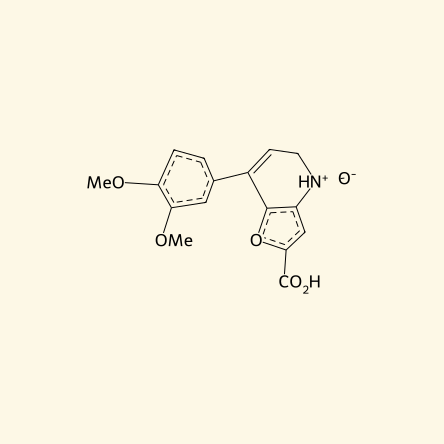 COc1ccc(C2=CC[NH+]([O-])c3cc(C(=O)O)oc32)cc1OC